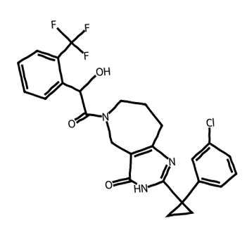 O=C(C(O)c1ccccc1C(F)(F)F)N1CCCc2nc(C3(c4cccc(Cl)c4)CC3)[nH]c(=O)c2C1